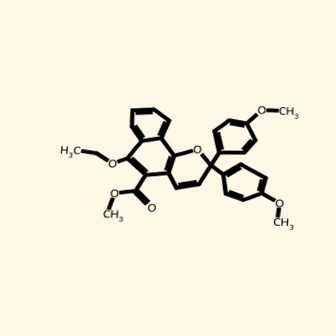 CCOc1c(C(=O)OC)c2c(c3ccccc13)OC(c1ccc(OC)cc1)(c1ccc(OC)cc1)C=C2